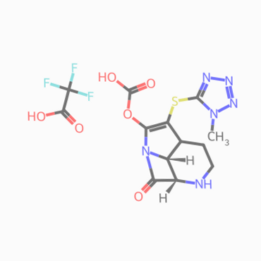 Cn1nnnc1SC1=C(OC(=O)O)N2C(=O)[C@H]3NCCC1[C@H]32.O=C(O)C(F)(F)F